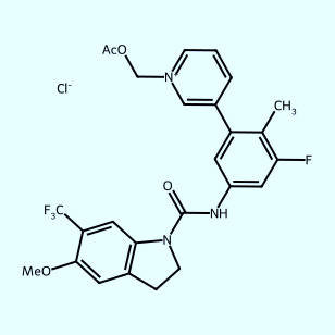 COc1cc2c(cc1C(F)(F)F)N(C(=O)Nc1cc(F)c(C)c(-c3ccc[n+](COC(C)=O)c3)c1)CC2.[Cl-]